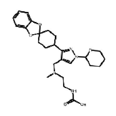 CN(CCNC(=O)O)Cc1cn(C2CCCCO2)nc1C1CCC2(CC1)Oc1ccccc1O2